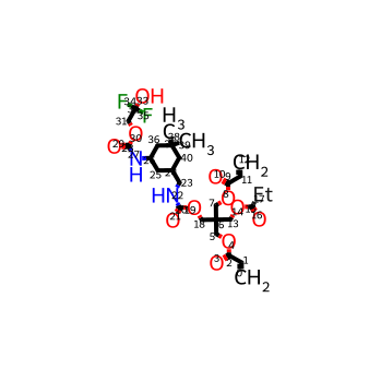 C=CC(=O)OCC(COC(=O)C=C)(COC(=O)CC)COC(=O)NCC1CC(NC(=O)OCC(O)(F)F)CC(C)(C)C1